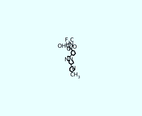 Cc1ccc(-c2ccn3c(-c4cccc(N(OC=O)C(=O)NCC(F)(F)F)c4)cnc3c2)nc1